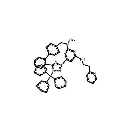 CCCCN(Cc1ccc(-c2ccccc2-c2nnnn2C(c2ccccc2)(c2ccccc2)c2ccccc2)cc1)c1nc(C)cc(NCCc2ccccn2)n1